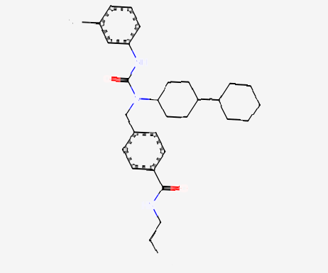 N#Cc1cccc(NC(=O)N(Cc2ccc(C(=O)NCCC(=O)O)cc2)C2CCC(C3CCCCC3)CC2)c1